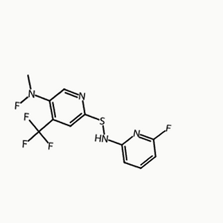 CN(F)c1cnc(SNc2cccc(F)n2)cc1C(F)(F)F